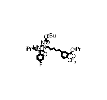 CC(C)CC[C@]1(c2ccc(F)cc2)NC(=NC(=O)OC(C)(C)C)N(CCCCCc2ccc(C(F)(F)F)c(C(=O)OC(C)C)c2)C1=O